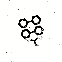 CC(C)(C)C(C(=O)O)C(=O)O.c1ccc(-c2ccccc2)cc1.c1ccc(-c2ccccc2)cc1